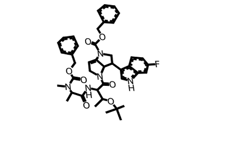 CC(OC(C)(C)C)C(NC(=O)C(C)N(C)C(=O)OCc1ccccc1)C(=O)N1CC=C2C1C(c1c[nH]c3cc(F)ccc13)CN2C(=O)OCc1ccccc1